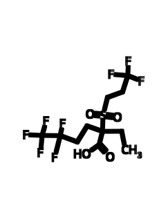 CCC(CCC(F)(F)C(F)(F)F)(C(=O)O)S(=O)(=O)CCC(F)(F)F